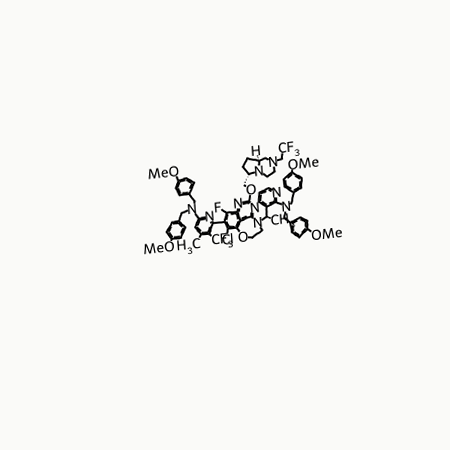 COc1ccc(CN(Cc2ccc(OC)cc2)c2cc(C)c(C(F)(F)F)c(-c3c(Cl)c4c5c(nc(OC[C@@H]6CC[C@H]7CN(CC(F)(F)F)CCN67)nc5c3F)N([C@H](C)c3cccnc3N(Cc3ccc(OC)cc3)Cc3ccc(OC)cc3)CCO4)n2)cc1